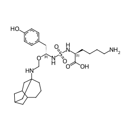 NCCCC[C@H](NS(=O)(=O)N[C@@H](Cc1ccc(O)cc1)OCNC12CCCC3CC(CC3C1)C2)C(=O)O